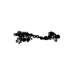 CCCCC(Cc1c[nH]c2ccccc12)NC(=O)c1cnc(N2CCN(CCOCCOCCOCCOCCOCC(=O)NC(C(=O)N3C[C@H](O)C[C@H]3C(=O)N[C@@H](C)c3ccc(-c4scnc4C)cc3)C(C)(C)C)CC2)s1